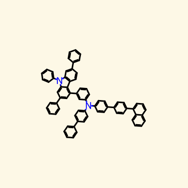 c1ccc(-c2ccc(N(c3ccc(-c4ccc(-c5cccc6ccccc56)cc4)cc3)c3cccc(-c4cc(-c5ccccc5)cc5c4c4ccc(-c6ccccc6)cc4n5-c4ccccc4)c3)cc2)cc1